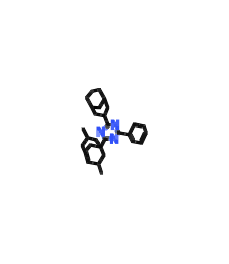 CC1C=C2CC(C)CC(c3nc(-c4ccccc4)nc(C4CC5CCCC(C5)C4)n3)(C2)C1